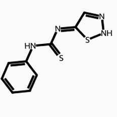 S=C(N=c1cn[nH]s1)Nc1ccccc1